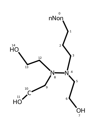 CCCCCCCCCCCCN(CCO)N(CCO)CCO